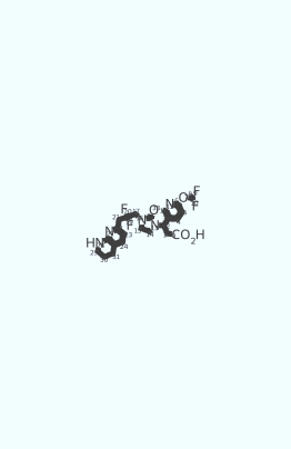 O=C(O)CC(c1ccc(OC(F)F)nc1)N1CCN(CC(F)(F)Cc2ccc3c(n2)NCCC3)C1=O